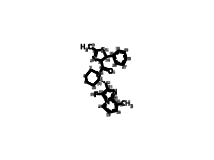 CC1=NC(C(=O)N2CCCC[C@H]2Cc2nc3c(C)cccn3c2F)C(c2ccccc2)S1